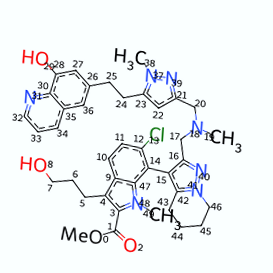 COC(=O)c1c(CCCO)c2ccc(Cl)c(-c3c(CN(C)Cc4cc(CCc5cc(O)c6ncccc6c5)n(C)n4)nn4c3CCCC4)c2n1C